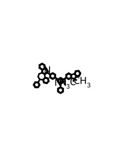 CC1(C)c2ccccc2-c2ccc(-c3cc(-c4ccc(-c5nc6ccccc6c6c5-c5ccccc5C(c5ccccc5)CC6)cc4)nc(-c4ccccc4)n3)cc21